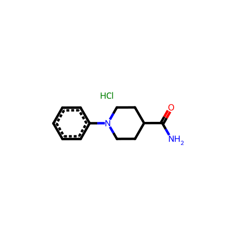 Cl.NC(=O)C1CCN(c2ccccc2)CC1